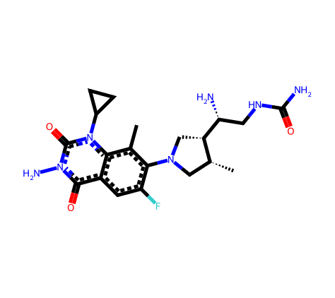 Cc1c(N2C[C@H]([C@H](N)CNC(N)=O)[C@H](C)C2)c(F)cc2c(=O)n(N)c(=O)n(C3CC3)c12